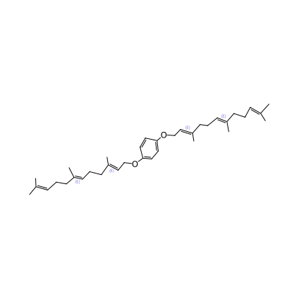 CC(C)=CCC/C(C)=C/CC/C(C)=C/COc1ccc(OC/C=C(\C)CC/C=C(\C)CCC=C(C)C)cc1